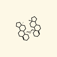 C[C@@]12CCCC1C1CCC3=CCCC[C@]3(COC[C@]34CCCC=C3CCC3C5CCC[C@@]5(C)CCC34)C1CC2